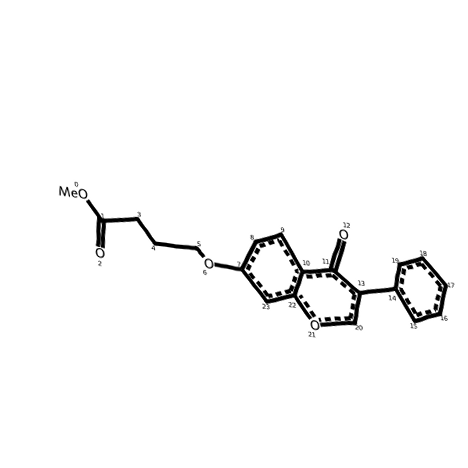 COC(=O)CCCOc1ccc2c(=O)c(-c3ccccc3)coc2c1